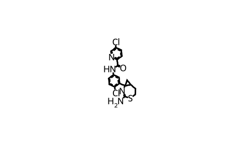 NC1=NC2(c3cc(NC(=O)c4ccc(Cl)cn4)ccc3Cl)CC2CCS1